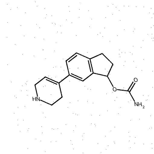 NC(=O)OC1CCc2ccc(C3=CCNCC3)cc21